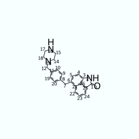 O=C1Nc2ccc(Cc3ccc(CN4CCNCC4)cc3)c3cccc1c23